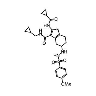 COc1ccc(S(=O)(=O)NNC2CCc3sc(NC(=O)C4CC4)c(C(=O)NCC4CC4)c3C2)cc1